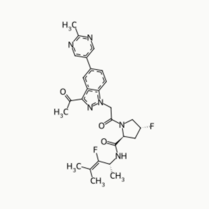 CC(=O)c1nn(CC(=O)N2C[C@H](F)C[C@H]2C(=O)N[C@H](C)C(F)=C(C)C)c2ccc(-c3cnc(C)nc3)cc12